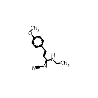 CCNC(/C=C/c1ccc(OC)cc1)=N/C#N